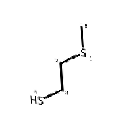 [CH2]SCCS